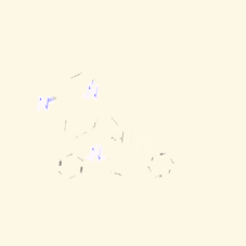 N#CC1C=CC=NC1C1C=CC(c2ccccc2N2C3C=CC4c5ccccc5OC4C3[C@@H]3C=CC=CC32)=CC1